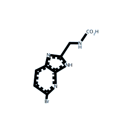 O=C(O)NCc1nc2ccc(Br)nc2[nH]1